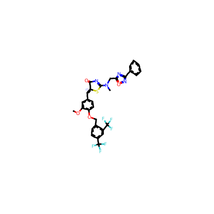 COc1cc(/C=C2\SC(N(C)Cc3nc(-c4ccccc4)no3)=NC2=O)ccc1OCc1ccc(C(F)(F)F)cc1C(F)(F)F